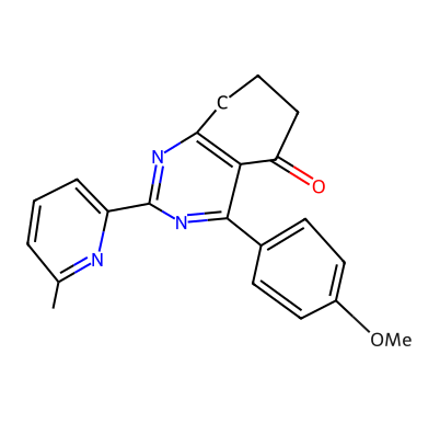 COc1ccc(-c2nc(-c3cccc(C)n3)nc3c2C(=O)CCC3)cc1